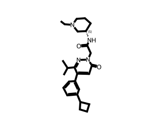 CCN1CCC[C@H](NC(=O)Cn2nc(C(C)C)c(-c3cccc(C4CCC4)c3)cc2=O)C1